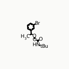 CC(OOC(=O)NC(C)(C)C)c1cccc(Br)c1